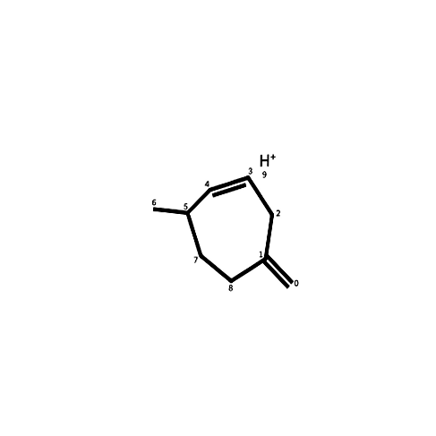 C=C1CC=CC(C)CC1.[H+]